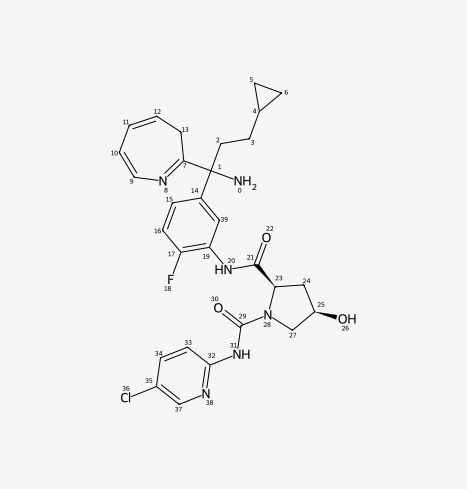 NC(CCC1CC1)(C1=NC=CC=CC1)c1ccc(F)c(NC(=O)[C@H]2C[C@@H](O)CN2C(=O)Nc2ccc(Cl)cn2)c1